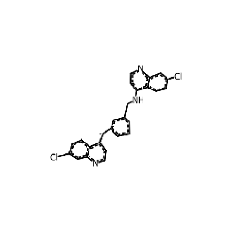 Clc1ccc2c([CH]c3cccc(CNc4ccnc5cc(Cl)ccc45)c3)ccnc2c1